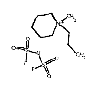 CCC[N+]1(C)CCCCC1.O=S(=O)(F)[N-]S(=O)(=O)F